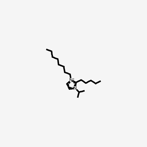 CCCCCCCC[n+]1ccn(C(C)C)c1CCCCC